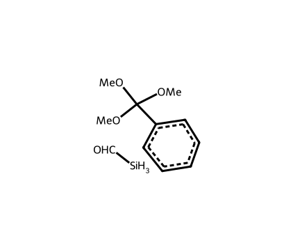 COC(OC)(OC)c1ccccc1.O=C[SiH3]